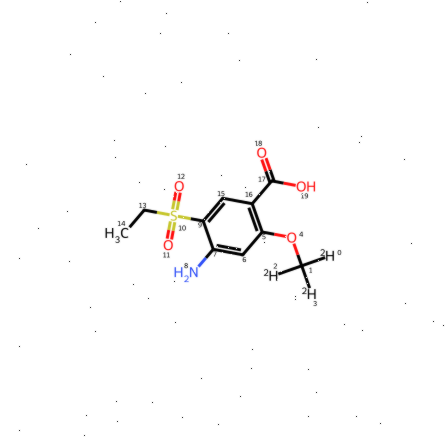 [2H]C([2H])([2H])Oc1cc(N)c(S(=O)(=O)CC)cc1C(=O)O